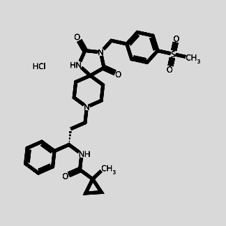 CC1(C(=O)N[C@@H](CCN2CCC3(CC2)NC(=O)N(Cc2ccc(S(C)(=O)=O)cc2)C3=O)c2ccccc2)CC1.Cl